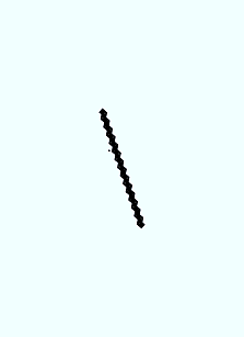 CCCCCCCCCC[CH]CCCCCCCCCCCCCCCCCCC